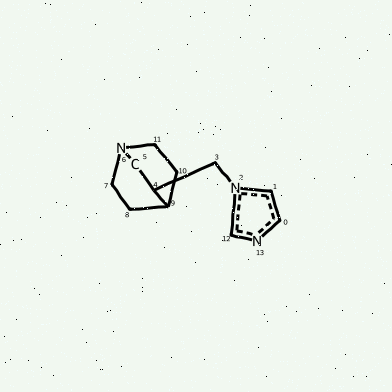 c1cn(CC2CN3CCC2CC3)cn1